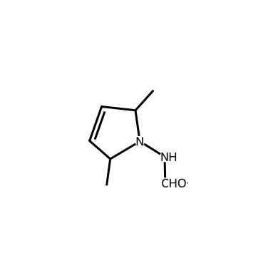 CC1C=CC(C)N1N[C]=O